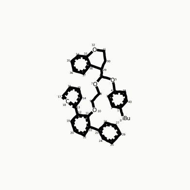 CCC(C)c1ccc(OC(OCCOc2c(-c3ccccc3)cccc2-c2ccccc2)C2CCOc3ccccc32)cc1